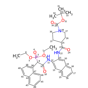 CCOP(=O)(OCC)C(C(=O)Nc1cc2ccccc2cc1NC(=O)C1CCN(C(=O)OC(C)(C)C)CC1)c1cccc2ccccc12